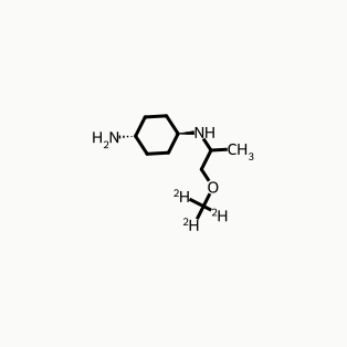 [2H]C([2H])([2H])OCC(C)N[C@H]1CC[C@H](N)CC1